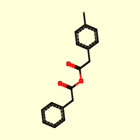 Cc1ccc(CC(=O)OC(=O)Cc2ccccc2)cc1